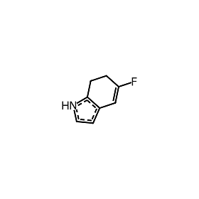 FC1=Cc2cc[nH]c2CC1